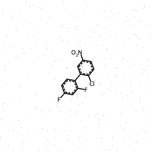 O=[N+]([O-])c1ccc(Cl)c(-c2ccc(F)cc2F)c1